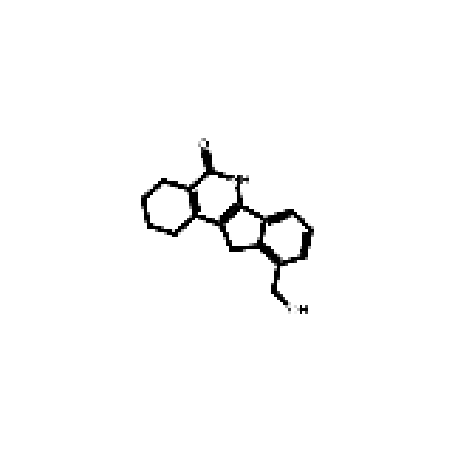 O=c1[nH]c2c(c3c1CCCC3)Cc1c(CO)cccc1-2